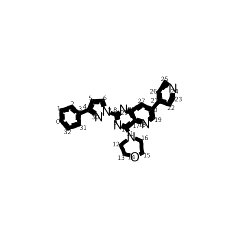 c1ccc(-c2ccn(-c3nc(N4CCOCC4)c4ncc(-c5ccncc5)cc4n3)n2)cc1